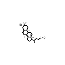 CC[C@]1(O)CC[C@@]2(C)C(=CC[C@@H]3C2CC[C@]2(C)[C@@H]([C@H](C)CCC=O)CC[C@@H]32)C1